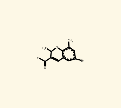 Cc1cc(Br)cc2c1OC(C(F)(F)F)C(C(=O)Cl)=C2